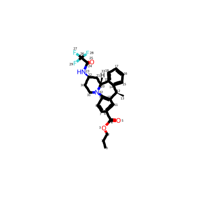 CCCOC(=O)c1ccc2c(c1)[C@H](C)c1ccccc1[C@H]1C[C@H](NC(=O)C(F)(F)F)CCN21